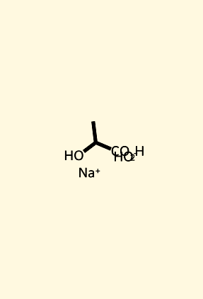 CC(O)C(=O)O.[Na+].[OH-]